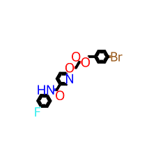 O=C(COc1ccc(C(=O)Nc2ccc(F)cc2)cn1)OCc1ccc(Br)cc1